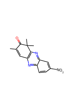 CC1=Cc2nc3ccc([N+](=O)[O-])cc3nc2C(C)(C)C1=O